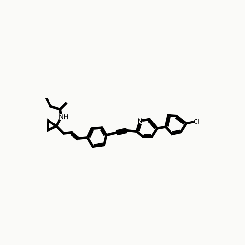 CCC(C)NC1(CC=Cc2ccc(C#Cc3ccc(-c4ccc(Cl)cc4)cn3)cc2)CC1